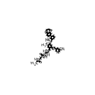 C=CC(=O)NCCNC(=O)NCCNCc1cc(C)c(OCc2cccc(-c3ccc4c(c3)OCCO4)c2C#N)cc1OCc1cncc(C#N)c1